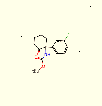 CC(C)(C)OC(=O)NC1(c2cccc(F)c2)CCCCC1=O